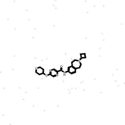 O=C(Nc1ccc2c(c1)CCN(C1CCC1)CC2)c1cnc(OC2CCOCC2)cn1